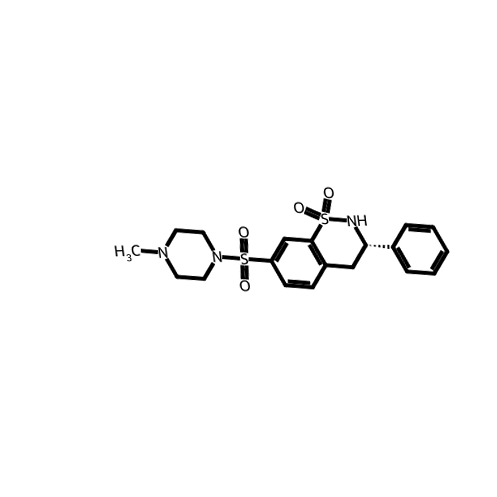 CN1CCN(S(=O)(=O)c2ccc3c(c2)S(=O)(=O)N[C@H](c2ccccc2)C3)CC1